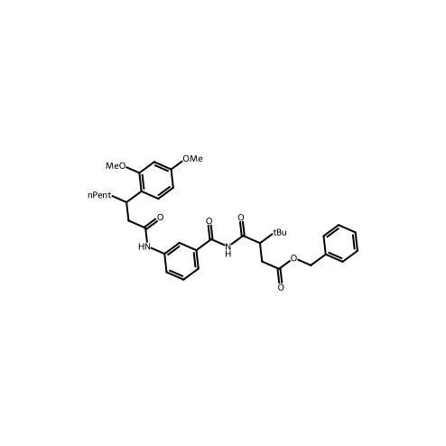 CCCCCC(CC(=O)Nc1cccc(C(=O)NC(=O)C(CC(=O)OCc2ccccc2)C(C)(C)C)c1)c1ccc(OC)cc1OC